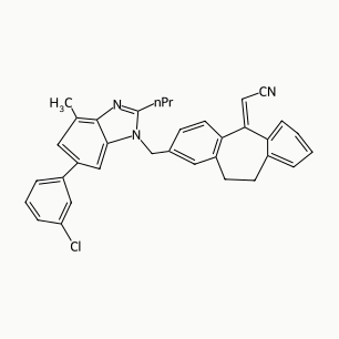 CCCc1nc2c(C)cc(-c3cccc(Cl)c3)cc2n1Cc1ccc2c(c1)CCc1ccccc1/C2=C\C#N